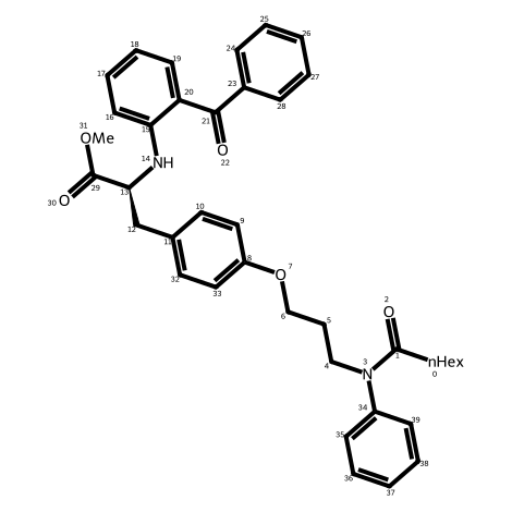 CCCCCCC(=O)N(CCCOc1ccc(C[C@H](Nc2ccccc2C(=O)c2ccccc2)C(=O)OC)cc1)c1ccccc1